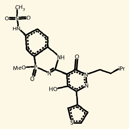 COP1(=O)N=C(c2c(O)c(-c3ccsc3)nn(CCC(C)C)c2=O)Nc2ccc(NS(C)(=O)=O)cc21